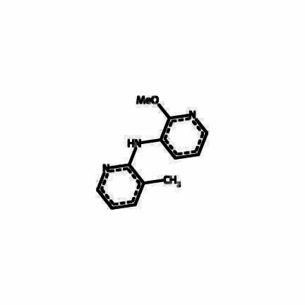 COc1ncccc1Nc1ncccc1C